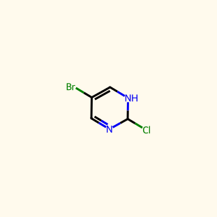 ClC1N=CC(Br)=CN1